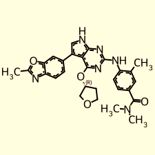 Cc1nc2ccc(-c3c[nH]c4nc(Nc5ccc(C(=O)N(C)C)cc5C)nc(O[C@@H]5CCOC5)c34)cc2o1